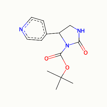 CC(C)(C)OC(=O)N1C(=O)NCC1c1ccncc1